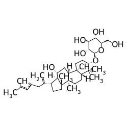 C=C(CCC=C(C)C)[C@H]1CC[C@]2(C)[C@@H]1[C@H](O)C[C@@H]1[C@@]3(C)CC[C@H](O[C@@H]4O[C@H](CO)[C@@H](O)[C@H](O)[C@H]4O)C(C)(C)[C@@H]3CC[C@]12C